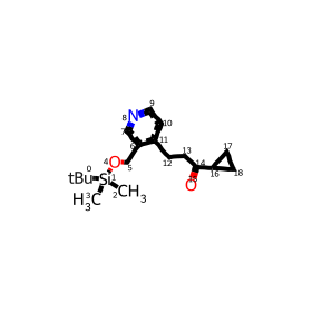 CC(C)(C)[Si](C)(C)OCc1cnccc1CCC(=O)C1CC1